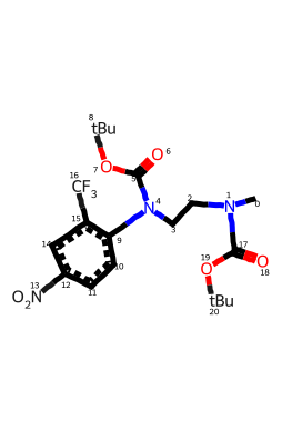 CN(CCN(C(=O)OC(C)(C)C)c1ccc([N+](=O)[O-])cc1C(F)(F)F)C(=O)OC(C)(C)C